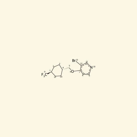 FC(F)(F)[C@H]1CC[C@H](COc2ccncc2Br)CC1